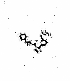 CN(C)Cc1cccc(-c2nccn2C(=O)NCCc2ccccc2)n1